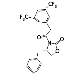 O=C(Cc1cc(C(F)(F)F)cc(C(F)(F)F)c1)N1C(=O)OC[C@@H]1Cc1ccccc1